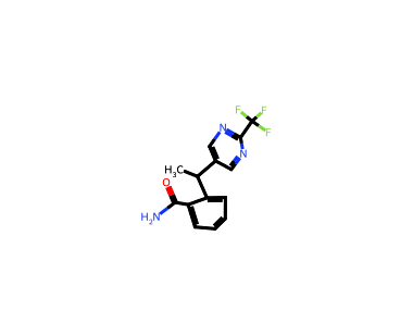 CC(c1cnc(C(F)(F)F)nc1)c1ccccc1C(N)=O